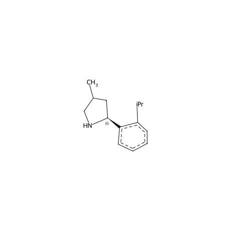 CC1CN[C@H](c2ccccc2C(C)C)C1